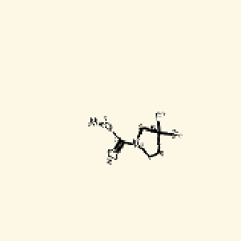 COC(=O)N1CCC(F)(F)C1